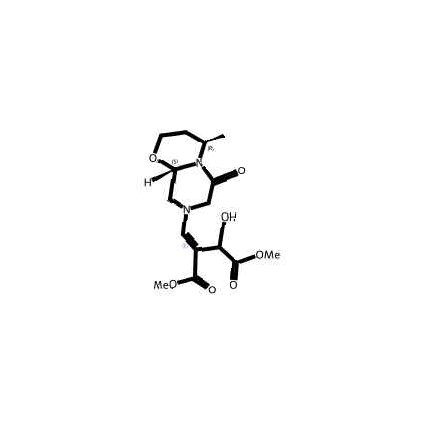 COC(=O)/C(=C/N1CC(=O)N2[C@H](C)CCO[C@H]2C1)C(O)C(=O)OC